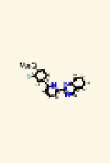 COc1ccc(-c2cccc(-c3ncc4ccccc4n3)n2)cc1F